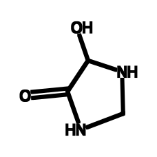 O=C1NCNC1O